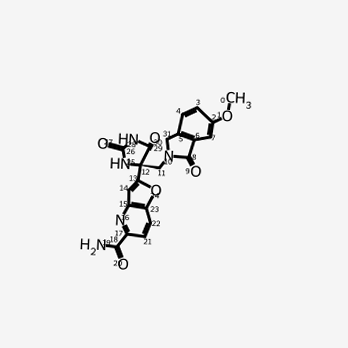 COc1ccc2c(c1)C(=O)N(C[C@@]1(c3cc4nc(C(N)=O)ccc4o3)NC(=O)NC1=O)C2